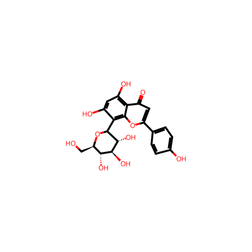 O=c1cc(-c2ccc(O)cc2)oc2c(C3O[C@H](CO)[C@@H](O)[C@H](O)[C@H]3O)c(O)cc(O)c12